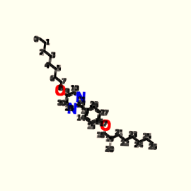 CCCCCCCCOc1cnc(-c2ccc(OC[C@@H](C)CCCCCC)cc2)nc1